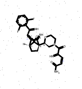 CC1(C)[C@H]2CC[C@]1([C@@H]1CN(C(=O)C(=N)/C=C\C(N)=O)CCO1)C(=N)/C2=C\C(=N)c1c(F)cccc1F